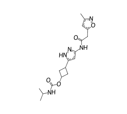 Cc1cc(CC(=O)Nc2cc(C3CC(OC(=O)NC(C)C)C3)[nH]n2)on1